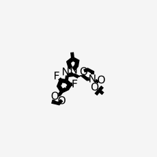 Cc1ccn2c(C[C@@H]3CN(C(=O)OC(C)(C)C)CCO3)c(-c3c(F)cc(C4OCCO4)cc3F)nc2c1